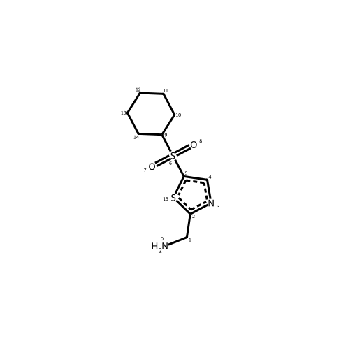 NCc1ncc(S(=O)(=O)C2CCCCC2)s1